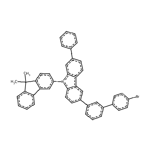 CC1(C)c2ccccc2-c2cc(-n3c4ccc(-c5cccc(-c6ccc(Br)cc6)c5)cc4c4ccc(-c5ccccc5)cc43)ccc21